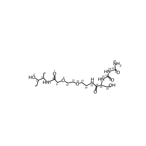 CC(O)C(C)NC(=O)COCCOCCNC(=O)C(CO)NC(=O)NC(N)=O